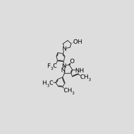 Cc1cc(C)cc(-c2nn(-c3cc(N4CC[C@H](O)C4)ccc3C(F)(F)F)c(=O)c3[nH]c(C)cc23)c1